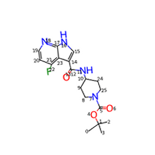 CC(C)(C)OC(=O)N1CCC(NC(=O)c2c[nH]c3nccc(F)c23)CC1